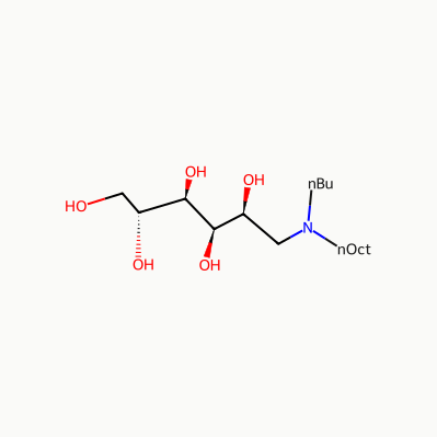 CCCCCCCCN(CCCC)C[C@H](O)[C@@H](O)[C@H](O)[C@H](O)CO